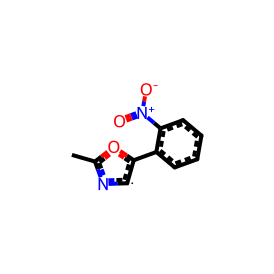 Cc1n[c]c(-c2ccccc2[N+](=O)[O-])o1